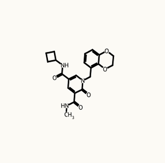 CNC(=O)c1cc(C(=O)NC2CCC2)cn(Cc2cccc3c2OCCO3)c1=O